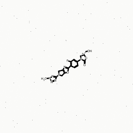 Cn1nnc(N2Cc3nc(-c4ccc(N5C[C@H](CO)OC5=O)cc4F)oc3C2)n1